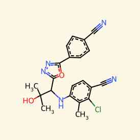 Cc1c(NC(c2nnc(-c3ccc(C#N)cc3)o2)C(C)(C)O)ccc(C#N)c1Cl